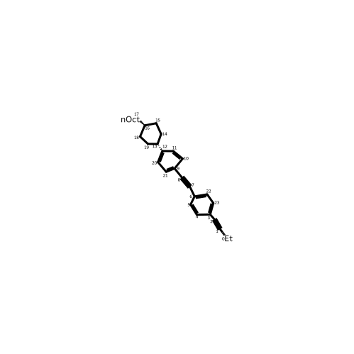 CCC#Cc1ccc(C#Cc2ccc([C@H]3CC[C@H](CCCCCCCC)CC3)cc2)cc1